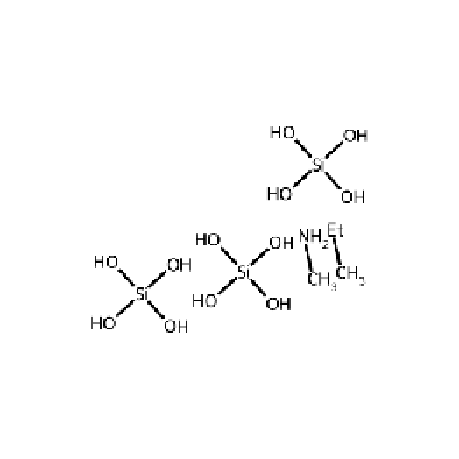 CCC.CN.O[Si](O)(O)O.O[Si](O)(O)O.O[Si](O)(O)O